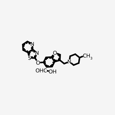 CC1CCN(Cc2coc3cc(Oc4nc5ncccc5s4)ccc23)CC1.O=CO